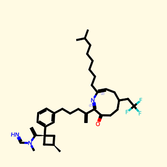 C=C(CCCc1cccc([C@]2(C(=C)N(C)C=N)C[C@@H](C)C2)c1)/C1=N/C(CCCCCCC(C)C)=C\CC(CC(F)(F)F)CCC1=O